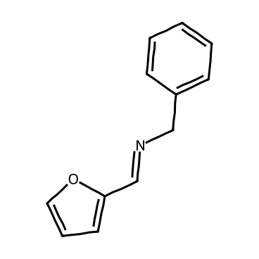 C(=N\Cc1ccccc1)/c1ccco1